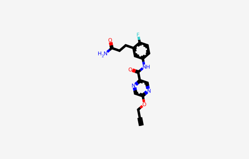 C#CCOc1cnc(C(=O)Nc2ccc(F)c(CCC(N)=O)c2)cn1